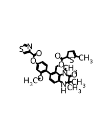 COc1cc(OC(=O)c2cscn2)ccc1-c1ccc2c(c1COC(=O)C1CC=C(C)S1)N(C)C(=O)C(C)(C)N2